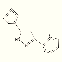 Fc1ccccc1C1=NNC(c2cccs2)C1